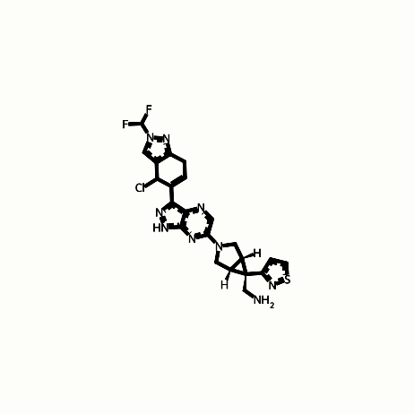 NC[C@@]1(c2ccsn2)[C@@H]2CN(c3cnc4c(C5=CCc6nn(C(F)F)cc6C5Cl)n[nH]c4n3)C[C@@H]21